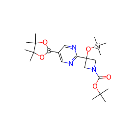 CC(C)(C)OC(=O)N1CC(O[Si](C)(C)C)(c2ncc(B3OC(C)(C)C(C)(C)O3)cn2)C1